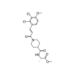 COC(=O)[C@H](C)NC(=O)C1CCN(C(=O)/C=C/c2ccc(OC)c(Cl)c2Cl)CC1